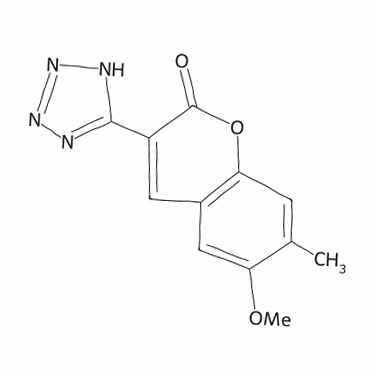 COc1cc2cc(-c3nnn[nH]3)c(=O)oc2cc1C